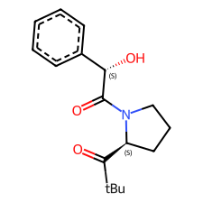 CC(C)(C)C(=O)[C@@H]1CCCN1C(=O)[C@@H](O)c1ccccc1